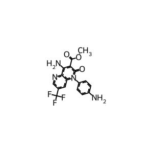 COC(=O)c1c(N)c2ncc(C(F)(F)F)cc2n(-c2ccc(N)cc2)c1=O